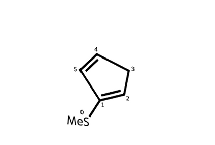 CSC1=CCC=C1